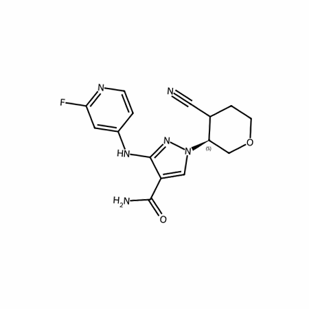 N#CC1CCOC[C@H]1n1cc(C(N)=O)c(Nc2ccnc(F)c2)n1